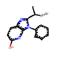 CC(=O)NC(C)c1nc2ccc(O)nc2n1-c1ccccc1